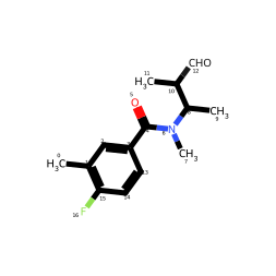 Cc1cc(C(=O)N(C)C(C)C(C)C=O)ccc1F